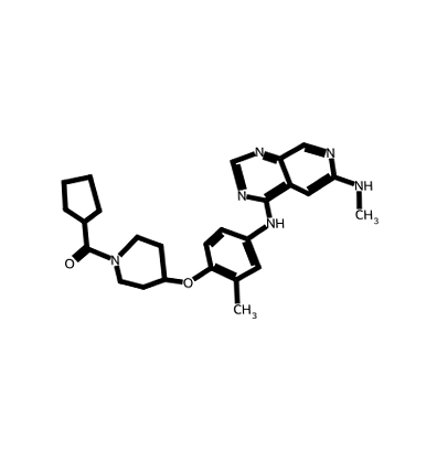 CNc1cc2c(Nc3ccc(OC4CCN(C(=O)C5CCCC5)CC4)c(C)c3)ncnc2cn1